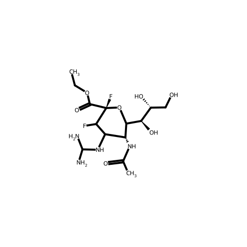 CCOC(=O)[C@]1(F)OC([C@H](O)[C@H](O)CO)[C@H](NC(C)=O)C(NC(N)N)C1F